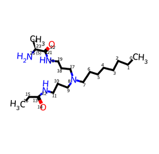 CCCCCCCCN(CCCNC(=O)CC)CCCNC(=O)[C@H](C)N